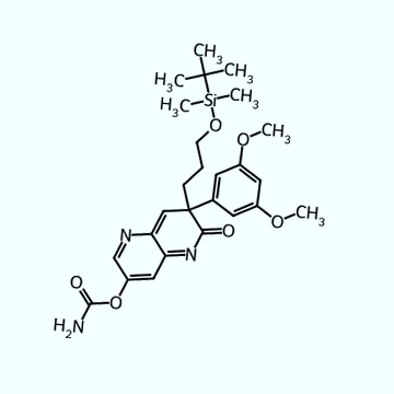 COc1cc(OC)cc(C2(CCCO[Si](C)(C)C(C)(C)C)C=c3ncc(OC(N)=O)cc3=NC2=O)c1